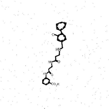 O=C(CCNCc1ccc(-c2ccccc2)c(Cl)c1)NCCC(=O)Nc1cccc(C(=O)O)c1